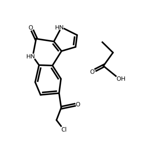 CCC(=O)O.O=C(CCl)c1ccc2[nH]c(=O)c3[nH]ccc3c2c1